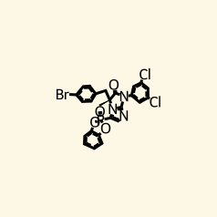 C[C@@]1(Cc2ccc(Br)cc2)C(=O)N(c2cc(Cl)cc(Cl)c2)c2ncc(P3(=O)Oc4ccccc4O3)n21